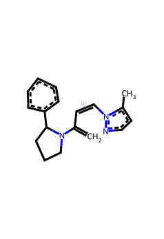 C=C(/C=C\n1nccc1C)N1CCCC1c1ccccc1